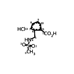 CS(=O)(=O)NCc1ccccc1C(=O)O.Cl